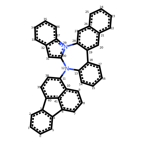 c1ccc2c(c1)-c1cccc3c(N4c5ccccc5-c5cc6ccccc6cc5-n5c4cc4ccccc45)ccc-2c13